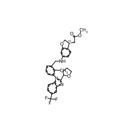 COC(=O)C[C@@H]1COc2cc(NCc3cccc(-n4c(C5CCCO5)nc5cc(C(F)(F)F)ccc54)c3C)ccc21